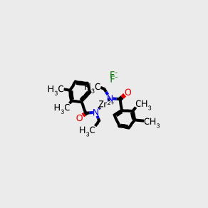 CC[N]([Zr+2][N](CC)C(=O)c1cccc(C)c1C)C(=O)c1cccc(C)c1C.[F-].[F-]